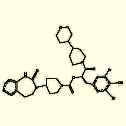 O=C(O[C@H](Cc1cc(Br)c(O)c(Br)c1)C(=O)N1CCC(C2CCOCC2)CC1)N1CCC(N2CCc3ccccc3NC2=O)CC1